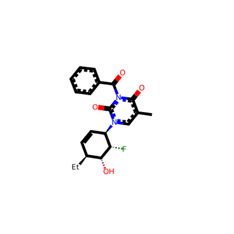 CC[C@H]1C=C[C@@H](n2cc(C)c(=O)n(C(=O)c3ccccc3)c2=O)[C@H](F)[C@@H]1O